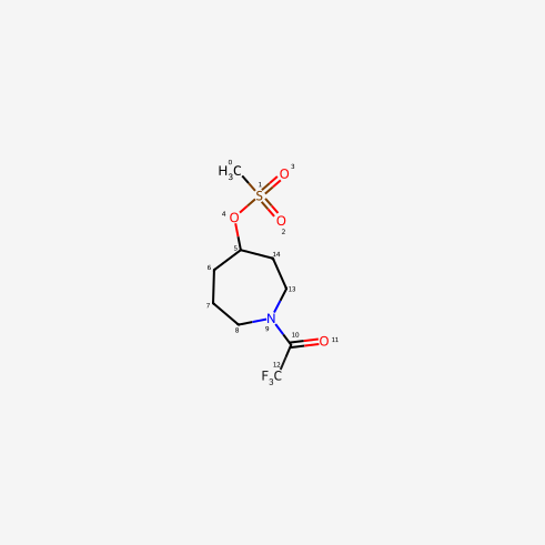 CS(=O)(=O)OC1CCCN(C(=O)C(F)(F)F)CC1